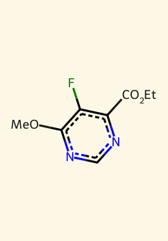 CCOC(=O)c1ncnc(OC)c1F